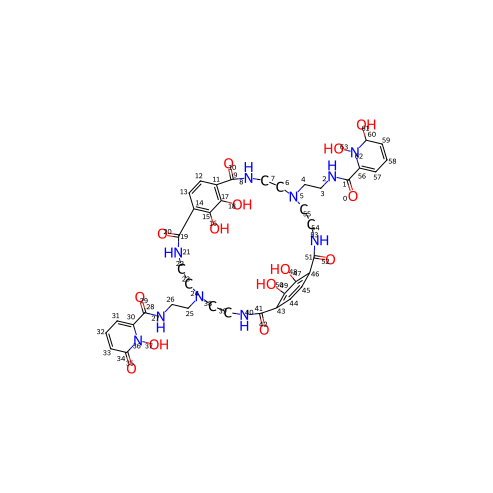 O=C(NCCN1CCNC(=O)c2ccc(c(O)c2O)C(=O)NCCN(CCNC(=O)c2cccc(=O)n2O)CCNC(=O)c2ccc(c(O)c2O)C(=O)NCC1)C1=CC=CC(O)N1O